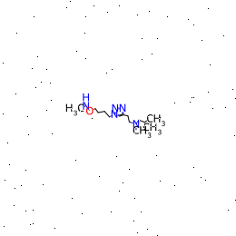 CNOCCCCn1cc(CCN(C)CC(C)C)nn1